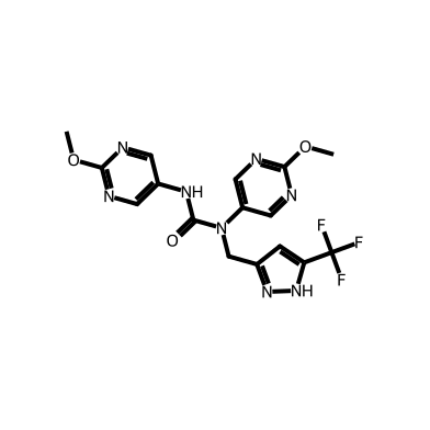 COc1ncc(NC(=O)N(Cc2cc(C(F)(F)F)[nH]n2)c2cnc(OC)nc2)cn1